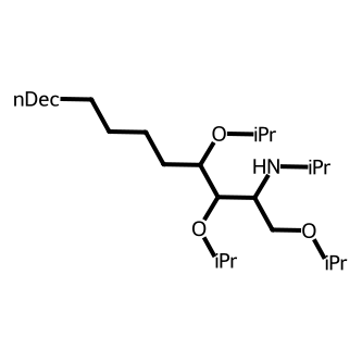 CCCCCCCCCCCCCCC(OC(C)C)C(OC(C)C)C(COC(C)C)NC(C)C